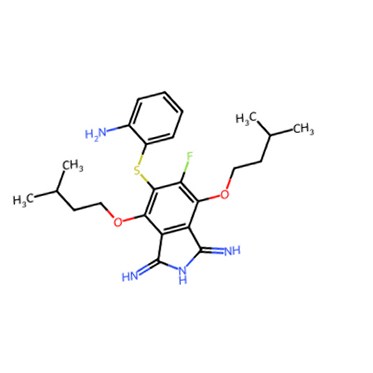 CC(C)CCOc1c(F)c(Sc2ccccc2N)c(OCCC(C)C)c2c1C(=N)NC2=N